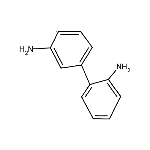 Nc1[c]ccc(-c2ccccc2N)c1